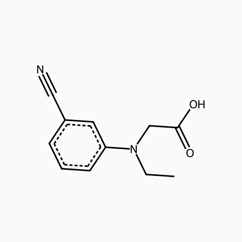 CCN(CC(=O)O)c1cccc(C#N)c1